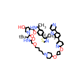 Cc1ncsc1-c1ccc([C@H](C)NC(=O)[C@@H]2C[C@@H](O)CN2C(=O)C(NC(=O)COCCCCCN2CCC(OC3CC(Oc4ccc(-c5ccc6c7cnccc7n(C)c6c5)cn4)C3)CC2)C(C)(C)C)cc1